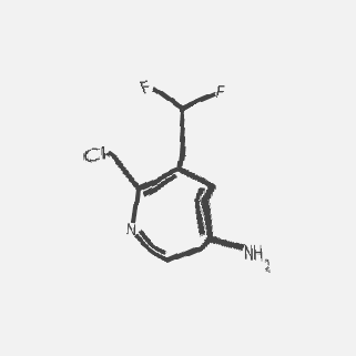 Nc1cnc(Cl)c(C(F)F)c1